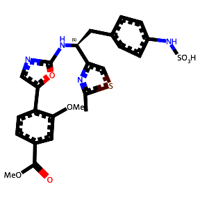 COC(=O)c1ccc(-c2cnc(N[C@@H](Cc3ccc(NS(=O)(=O)O)cc3)c3csc(C)n3)o2)c(OC)c1